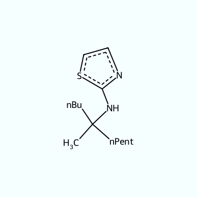 CCCCCC(C)(CCCC)Nc1nccs1